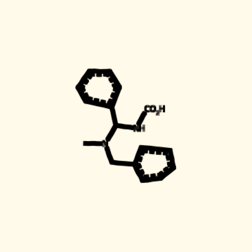 CN(Cc1ccccc1)C(NC(=O)O)c1ccccc1